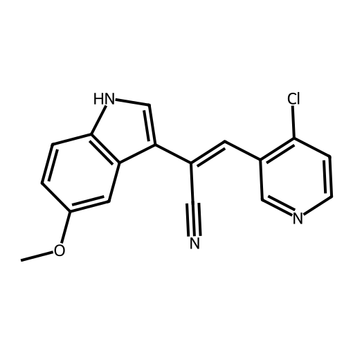 COc1ccc2[nH]cc(C(C#N)=Cc3cnccc3Cl)c2c1